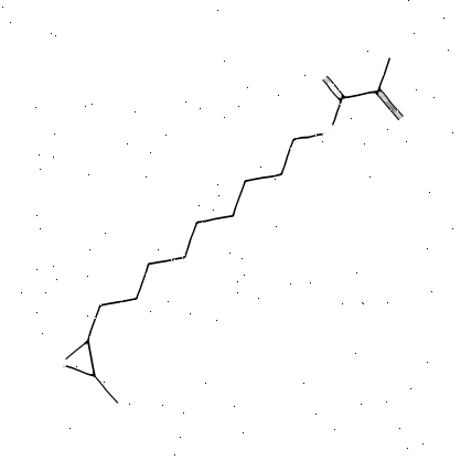 C=C(C)C(=O)OCCCCCCCCCC1SC1C